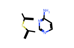 C=C(C)SC(=C)C.Nc1ccncn1